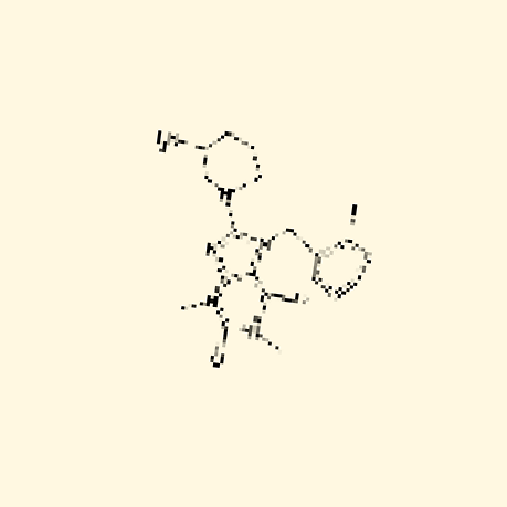 Cn1c(=O)c2c(nc(N3CCCC(N)C3)n2Cc2ccccc2I)n(C)c1=O